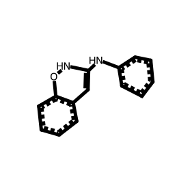 C1=C(Nc2ccccc2)NOc2ccccc21